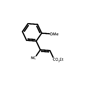 CCOC(=O)C=C(C#N)c1ccccc1OC